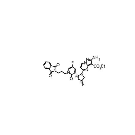 CCOC(=O)c1c(N)nn2ccc(N3C[C@@H](F)C[C@@H]3c3cc(F)cn(CCCN4C(=O)c5ccccc5C4=O)c3=O)nc12